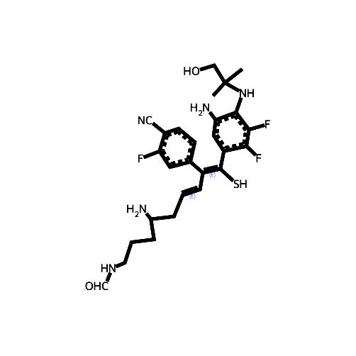 CC(C)(CO)Nc1c(N)cc(/C(S)=C(/C=C/CC(N)CCCNC=O)c2ccc(C#N)c(F)c2)c(F)c1F